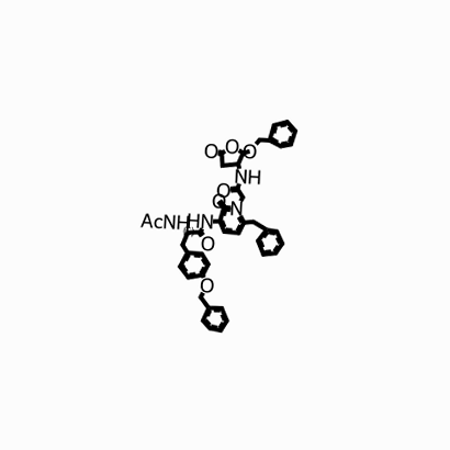 CC(=O)N[C@@H](Cc1ccc(OCc2ccccc2)cc1)C(=O)Nc1ccc(Cc2ccccc2)n(CC(=O)NC2CC(=O)OC2OCc2ccccc2)c1=O